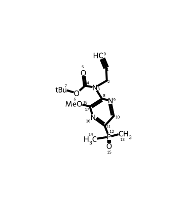 C#CCN(C(=O)OC(C)(C)C)c1ncc(P(C)(C)=O)nc1OC